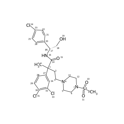 CC(CCN1CCN(S(C)(=O)=O)CC1)(C(=O)N[C@@H](CO)c1ccc(Cl)cc1)c1ccc(Cl)c(Cl)c1